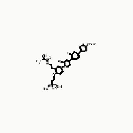 C=C(C)C(=O)OCCc1cc(-c2ccc(C3=CC=C(c4ccc(CCCCC)cc4)CC3F)cc2CC)ccc1OCCC(CO)(CO)CCC